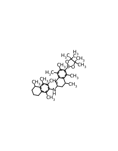 Cc1c(C)c(B2OC(C)(C)C(C)(C)O2)c(C)c2c1CC(Nc1c(C)c(C)c3c(c1C)CCCC3C)CC2C